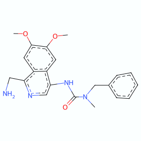 COc1cc2c(NC(=O)N(C)Cc3ccccc3)cnc(CN)c2cc1OC